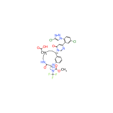 CC(=O)O.COC(=O)N(C[C@H]1Nc2cccc(c2)[C@@H](n2cnc(-c3cc(Cl)ccc3-n3cc(Cl)nn3)cc2=O)CCCCCNC1=O)C(F)(F)F